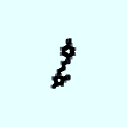 CC1CC(=O)N(CCCOc2ccc(Cl)cc2)C1